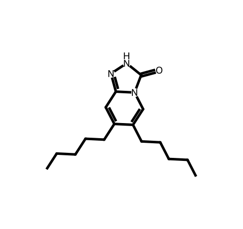 CCCCCc1cc2n[nH]c(=O)n2cc1CCCCC